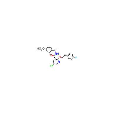 C[C@H](NC(=O)c1cc(Cl)cnc1OCCc1ccc(F)cc1)c1ccc(C(=O)O)cc1